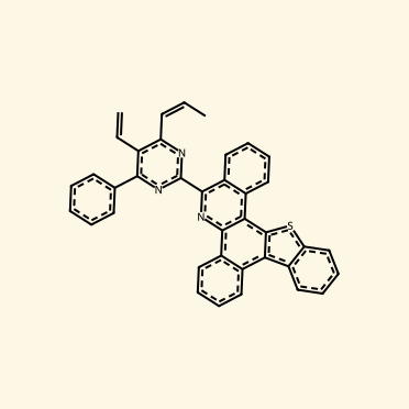 C=Cc1c(/C=C\C)nc(-c2nc3c4ccccc4c4c5ccccc5sc4c3c3ccccc23)nc1-c1ccccc1